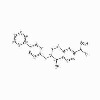 CCC(C(=O)O)c1ccc2c(c1)OCC(Cc1ccc(-c3ccccc3)cc1)C2O